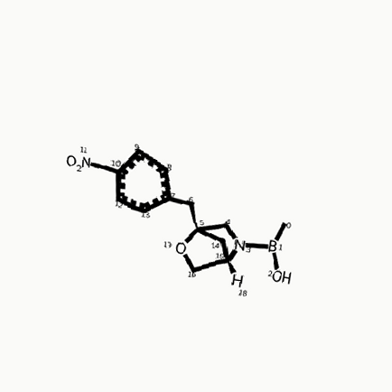 CB(O)N1C[C@]2(Cc3ccc([N+](=O)[O-])cc3)C[C@H]1CO2